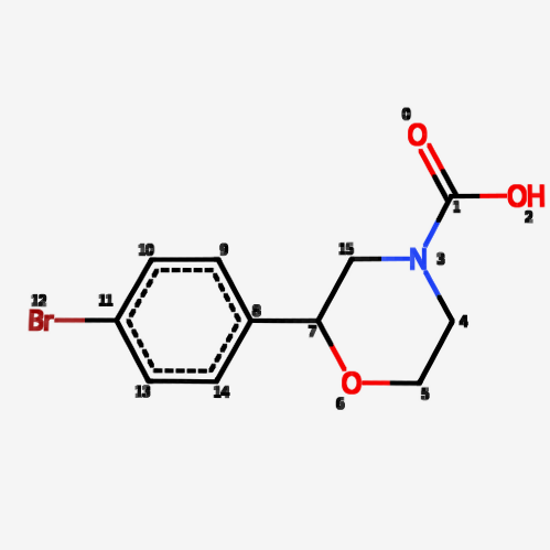 O=C(O)N1CCOC(c2ccc(Br)cc2)C1